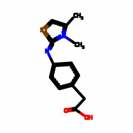 Cc1csc(=Nc2ccc(CC(=O)O)cc2)n1C